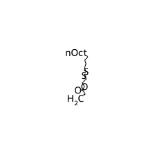 C=CC(=O)OCCSSCCCCCCCCCCCC